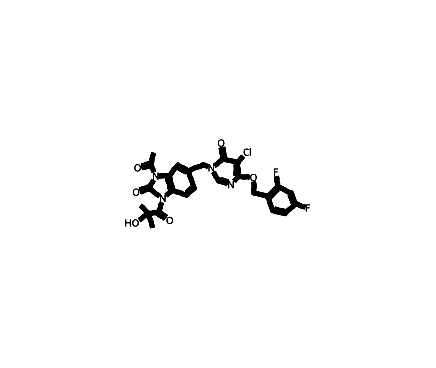 CC(=O)n1c(=O)n(C(=O)C(C)(C)O)c2ccc(Cn3cnc(OCc4ccc(F)cc4F)c(Cl)c3=O)cc21